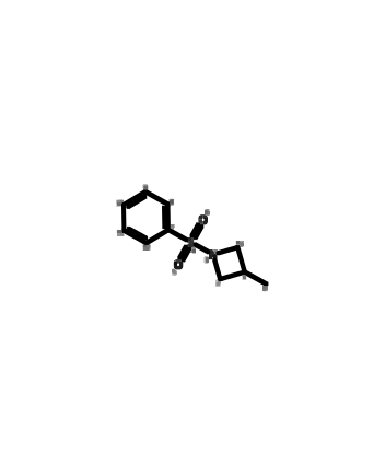 CC1CN(S(=O)(=O)c2ccccc2)C1